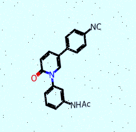 [C-]#[N+]c1ccc(-c2ccc(=O)n(-c3cccc(NC(C)=O)c3)c2)cc1